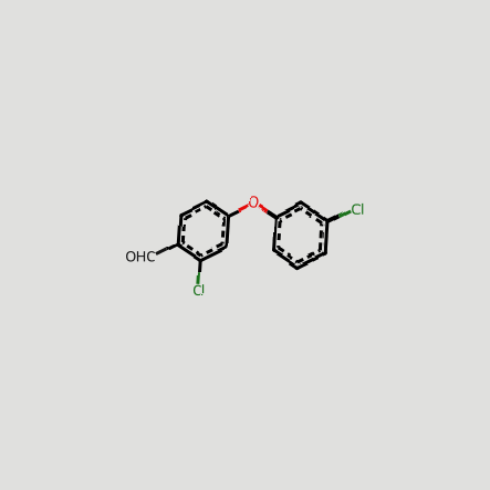 O=Cc1ccc(Oc2cccc(Cl)c2)cc1Cl